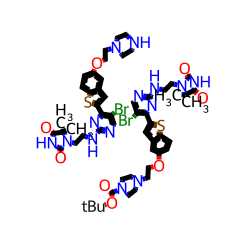 CC(C)(C)OC(=O)N1CCN(CCOc2ccc3sc(-c4nc(NCCN5C(=O)NC(=O)C5(C)C)ncc4Br)cc3c2)CC1.CC1(C)C(=O)NC(=O)N1CCNc1ncc(Br)c(-c2cc3cc(OCCN4CCNCC4)ccc3s2)n1